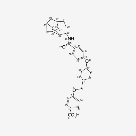 O=C(O)c1ccc(OCC2CCC(Oc3ccc(C(=O)NC4CCC5CC6CC(C5)C4C6)cc3)CC2)cc1